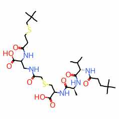 CC(C)[C@H](NC(=O)CCC(C)(C)C)C(=O)N[C@@H](C)C(=O)NC(CSCC(=O)NCC(NC(=O)CCSCC(C)(C)C)C(=O)O)C(=O)O